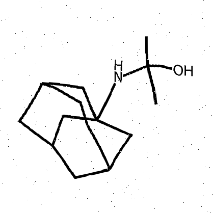 CC(C)(O)NC12CC3CC(CC(C3)C1)C2